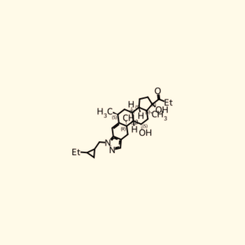 CCC(=O)[C@@]1(O)CC[C@H]2[C@@H]3C[C@H](C)C4=Cc5c(cnn5CC5CC5CC)C[C@]4(C)[C@H]3[C@@H](O)C[C@@]21C